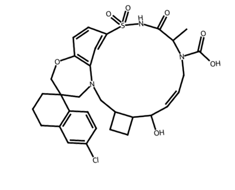 CC1C(=O)NS(=O)(=O)c2ccc3c(c2)N(CC2CCC2C(O)C=CCN1C(=O)O)CC1(CCCc2cc(Cl)ccc21)CO3